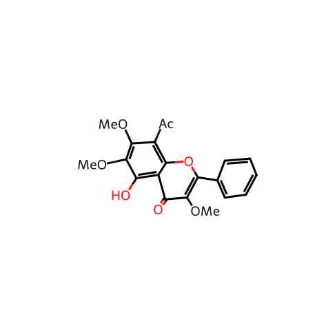 COc1c(OC)c(O)c2c(=O)c(OC)c(-c3ccccc3)oc2c1C(C)=O